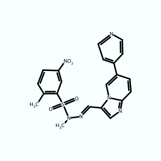 Cc1ccc([N+](=O)[O-])cc1S(=O)(=O)N(C)N=Cc1cnc2ccc(-c3ccncc3)cn12